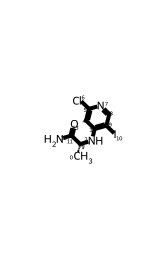 C[C@@H](Nc1cc(Cl)ncc1I)C(N)=O